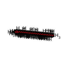 C[SiH](O)O[SiH](C)O[SiH](C)O[SiH](C)O[SiH](C)O[SiH](C)O[SiH](C)O[SiH](C)O[SiH](C)O[SiH](C)O[SiH](C)O[SiH](C)O[SiH](C)O[SiH](C)O[SiH](C)O[SiH](C)O[SiH](C)O[SiH](C)O[SiH](C)O[SiH](C)O[SiH](C)O[SiH](C)O[SiH](C)O[SiH](C)O[SiH](C)O[SiH](C)O[SiH](C)O[SiH](C)O[SiH](C)O[SiH](C)O[SiH](C)O[SiH](C)O[SiH](C)O[SiH](C)O[SiH](C)O[SiH](C)O[SiH](C)O[SiH](C)O[SiH](C)O[Si](C)(O[Si](C)(C)C)[Si](C)(C)C